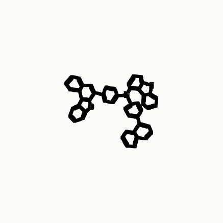 c1ccc2c(-c3ccc(N(c4ccc(-c5cc6ccccc6c6c5oc5ccccc56)cc4)c4cccc5sc6ccccc6c45)cc3)cccc2c1